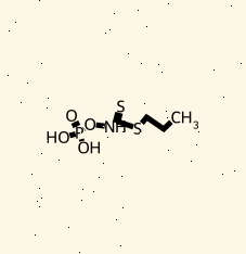 CCCSC(=S)NOP(=O)(O)O